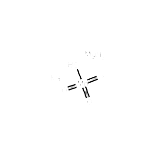 [KH].[MgH2].[O]=[Mn](=[O])(=[O])[OH]